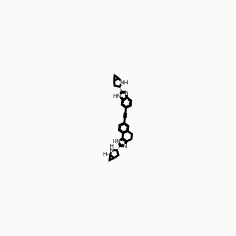 C(#Cc1ccc2nc([C@@H]3CC4CC4N3)[nH]c2c1)c1ccc2c(c1)CCc1nc([C@@H]3CC4C[C@H]4N3)[nH]c1-2